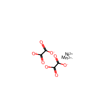 O=C([O-])C(=O)[O-].O=C([O-])C(=O)[O-].[Mn+2].[Ni+2]